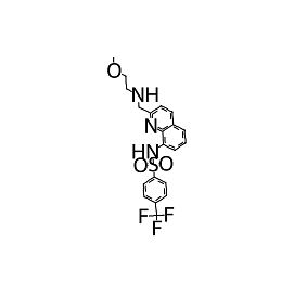 COCCNCc1ccc2cccc(NS(=O)(=O)c3ccc(C(F)(F)F)cc3)c2n1